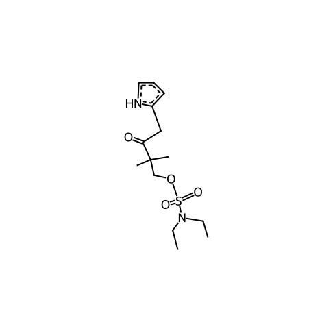 CCN(CC)S(=O)(=O)OCC(C)(C)C(=O)Cc1ccc[nH]1